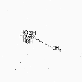 CCCCCCCCCCCCCCO[C@@H]1O[C@H](C(=O)O)[C@@H](O)[C@H](O)[C@H]1O